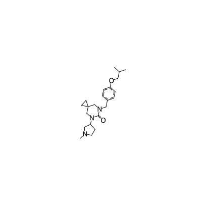 CC(C)COc1ccc(CN2CC3(CC3)CN(C3CCN(C)C3)C2=O)cc1